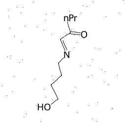 CCCC(=O)C=NCCCCO